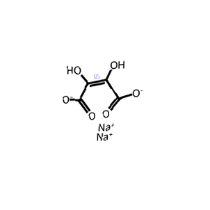 O=C([O-])/C(O)=C(/O)C(=O)[O-].[Na+].[Na+]